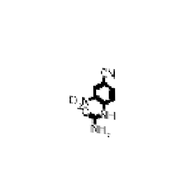 N#Cc1ccc(NC(N)=O)c([N+](=O)[O-])c1